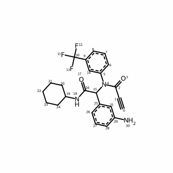 C#CC(=O)N(c1cccc(C(F)(F)F)c1)C(C(=O)NC1CCCCC1)c1cccc(N)c1